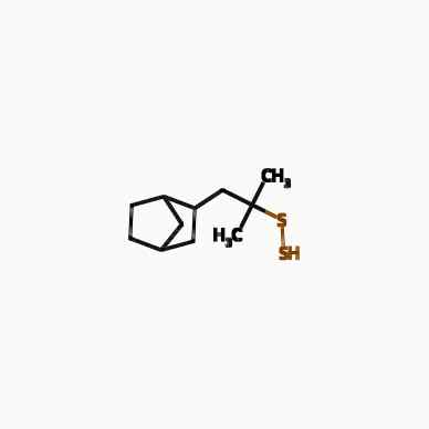 CC(C)(CC1CC2CCC1C2)SS